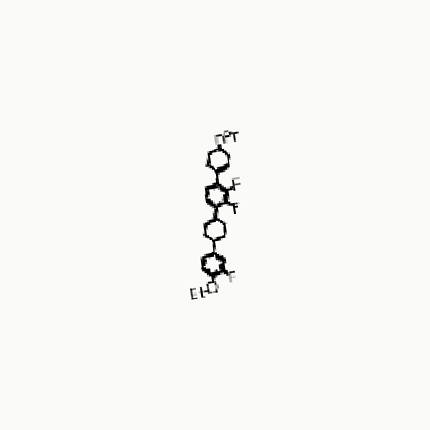 CCCC1CC=C(c2ccc(C3=CCC(c4ccc(OCC)c(F)c4)CC3)c(F)c2F)CC1